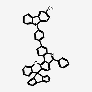 N#Cc1ccc2c(c1)c1ccccc1n2-c1ccc(-c2ccc3c(c2)nc(-c2ccccc2)c2ccc4c(c23)Oc2ccccc2C42c3ccccc3-c3ccccc32)cc1